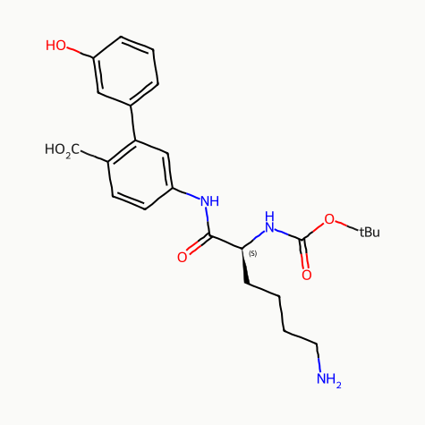 CC(C)(C)OC(=O)N[C@@H](CCCCN)C(=O)Nc1ccc(C(=O)O)c(-c2cccc(O)c2)c1